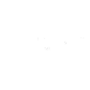 CC(C)(C)OC(=O)N1CCC(C(NS(=O)(=O)c2ccc(Oc3ccccc3)cc2)C(=O)O)CC1